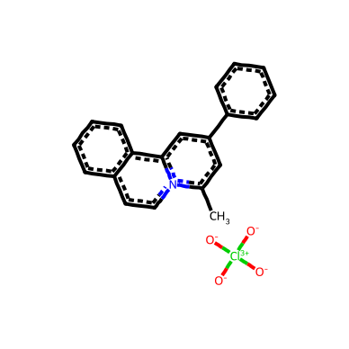 Cc1cc(-c2ccccc2)cc2c3ccccc3cc[n+]12.[O-][Cl+3]([O-])([O-])[O-]